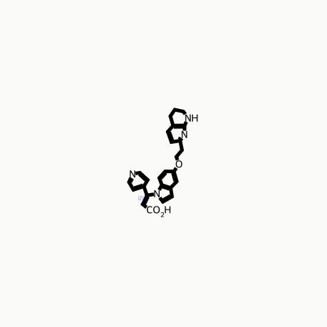 O=C(O)/C=C(/c1ccncc1)n1ccc2cc(OCCc3ccc4c(n3)NCCC4)ccc21